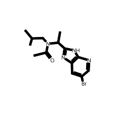 CC(=O)N(CC(C)C)C(C)c1nc2cc(Br)cnc2[nH]1